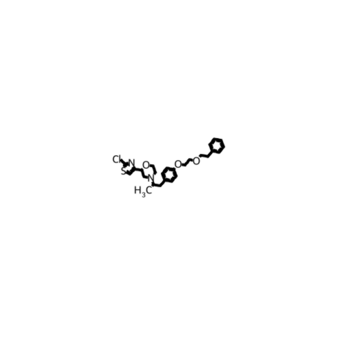 CC(Cc1ccc(OCCOCCc2ccccc2)cc1)N1CCOC(c2csc(Cl)n2)C1